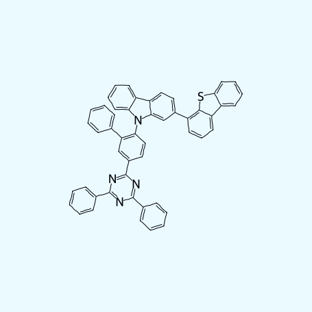 c1ccc(-c2nc(-c3ccccc3)nc(-c3ccc(-n4c5ccccc5c5ccc(-c6cccc7c6sc6ccccc67)cc54)c(-c4ccccc4)c3)n2)cc1